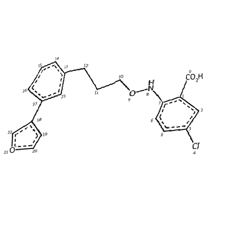 O=C(O)c1cc(Cl)ccc1NOCCCc1cccc(-c2ccoc2)c1